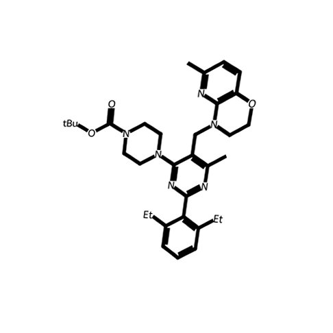 CCc1cccc(CC)c1-c1nc(C)c(CN2CCOc3ccc(C)nc32)c(N2CCN(C(=O)OC(C)(C)C)CC2)n1